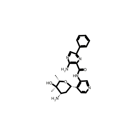 C[C@@H]1O[C@H](c2ccncc2NC(=O)c2nc(-c3ccccc3)cnc2N)C[C@H](N)[C@@]1(C)O